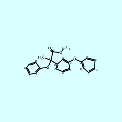 COC(=O)C(C)(Sc1ccccc1)c1cccc(Oc2ccccc2)c1